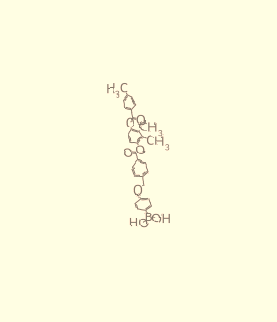 Cc1ccc(C(=O)Oc2ccc(OC(=O)c3ccc(COc4ccc(B(O)O)cc4)cc3)c(C)c2C)cc1